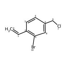 C=Cc1ccc(CCl)cc1Br